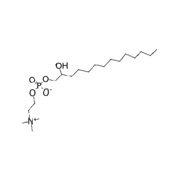 CCCCCCCCCCCCC(O)COP(=O)([O-])OCC[N+](C)(C)C